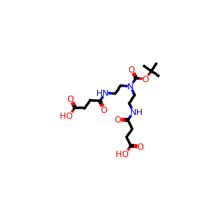 CC(C)(C)OC(=O)N(CCNC(=O)CCC(=O)O)CCNC(=O)CCC(=O)O